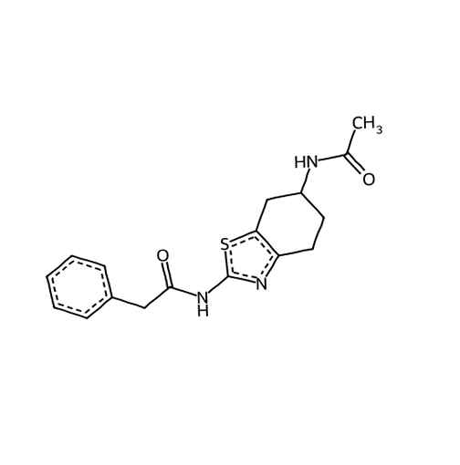 CC(=O)NC1CCc2nc(NC(=O)Cc3ccccc3)sc2C1